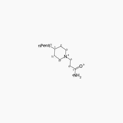 CCCCCC1CCN(CCC(N)=O)CC1